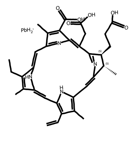 C=Cc1c(C)c2cc3nc(c(CC(=O)O)c4nc(cc5[nH]c(cc1[nH]2)c(C)c5CC)C(C)=C4C(=O)O)[C@@H](CCC(=O)O)[C@@H]3C.[PbH2]